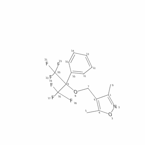 Cc1noc(C)c1COC(c1ccccc1)(C(F)(F)F)C(F)(F)F